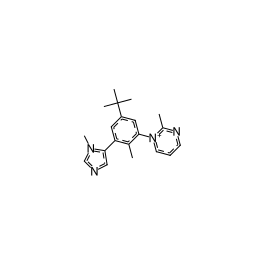 Cc1c(-c2cncn2C)cc(C(C)(C)C)cc1-[n+]1cccnc1C